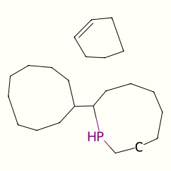 C1=CCCCC1.C1CCCCC(C2CCCCCCCP2)CCC1